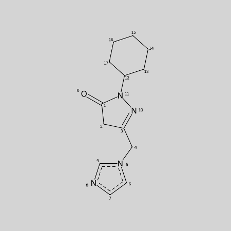 O=C1CC(Cn2ccnc2)=NN1C1CCCCC1